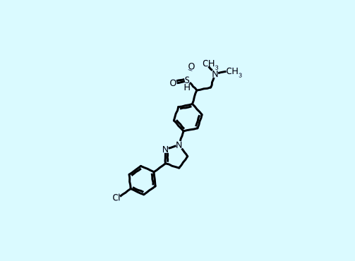 CN(C)CC(c1ccc(N2CCC(c3ccc(Cl)cc3)=N2)cc1)[SH](=O)=O